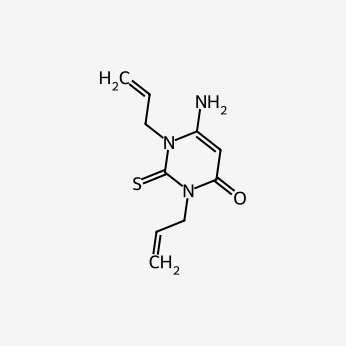 C=CCn1c(N)cc(=O)n(CC=C)c1=S